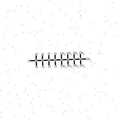 C[Si](C)(C)[Si](C)(C)[Si](C)(C)[Si](C)(C)[Si](Cl)(Cl)[Si](Cl)(Cl)[Si](Cl)(Cl)[Si](Cl)(Cl)Cl